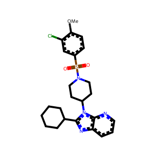 COc1ccc(S(=O)(=O)N2CCC(n3c(C4CCCCC4)nc4cccnc43)CC2)cc1Cl